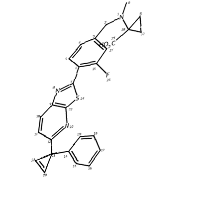 CN(Cc1ccc(-c2nc3ccc(C4(c5ccccc5)C=C4)nc3s2)c(F)c1)C1(C(=O)O)CC1